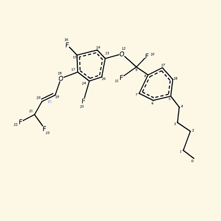 CCCCCc1ccc(C(F)(F)Oc2cc(F)c(O/C=C/C(F)F)c(F)c2)cc1